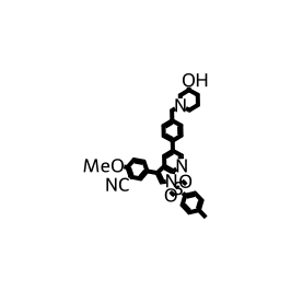 COc1ccc(-c2cn(S(=O)(=O)c3ccc(C)cc3)c3ncc(-c4ccc(CN5CCCC(O)C5)cc4)cc23)cc1C#N